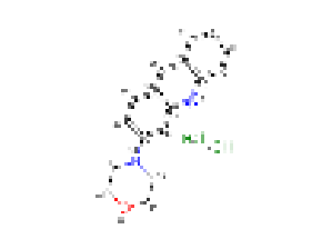 Cl.Cl.c1ccc2nc3cc(N4CCOCC4)ccc3cc2c1